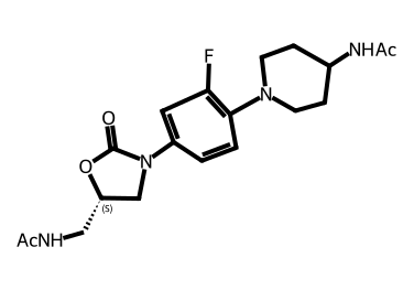 CC(=O)NC[C@H]1CN(c2ccc(N3CCC(NC(C)=O)CC3)c(F)c2)C(=O)O1